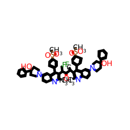 Cc1nc2ccc(N3CCC(O)(c4ccccc4)CC3)cc2c(-c2ccc(S(C)(=O)=O)cc2)c1C(CF)C(=O)C(CF)c1c(C)nc2ccc(N3CCC(O)(c4ccccc4)CC3)cc2c1-c1ccc(S(C)(=O)=O)cc1